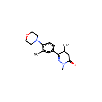 CC(=O)OC1CC(=O)N(C)N=C1c1ccc(N2CCOCC2)c(C#N)c1